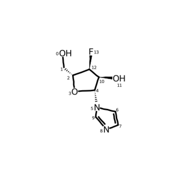 OC[C@H]1O[C@@H](n2ccnc2)[C@H](O)[C@@H]1F